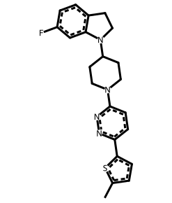 Cc1ccc(-c2ccc(N3CCC(N4CCc5ccc(F)cc54)CC3)nn2)s1